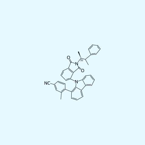 Cc1cc(C#N)ccc1-c1cccc2c3ccccc3n(-c3cccc4c3C(=O)N([C@@H](C)C(C)c3ccccc3)C4=O)c12